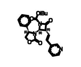 CC(C)COC(=O)N1C(=O)[C@H](C=Cc2cccnc2)[C@@H]1N1C(=O)OC[C@@H]1c1ccccc1